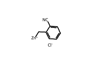 N#Cc1ccccc1[CH2][Zn+].[Cl-]